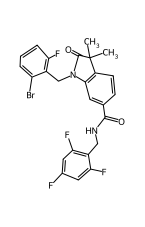 CC1(C)C(=O)N(Cc2c(F)cccc2Br)c2cc(C(=O)NCc3c(F)cc(F)cc3F)ccc21